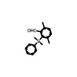 Cc1ccc(C)c([Si](C)(C)c2ccccc2)c1C=O